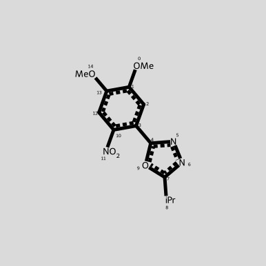 COc1cc(-c2nnc(C(C)C)o2)c([N+](=O)[O-])cc1OC